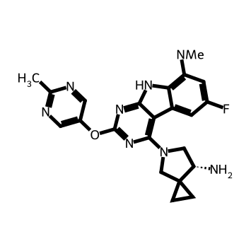 CNc1cc(F)cc2c1[nH]c1nc(Oc3cnc(C)nc3)nc(N3C[C@H](N)C4(CC4)C3)c12